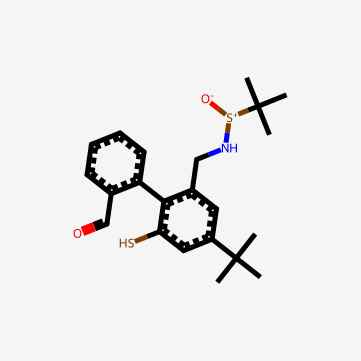 CC(C)(C)c1cc(S)c(-c2ccccc2C=O)c(CN[S+]([O-])C(C)(C)C)c1